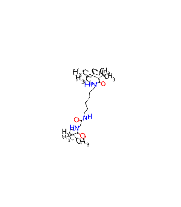 CC(C)C(C(=O)NCCCCCCNC(=O)CNC(=O)C(C)(C)C)C(C)(C)C